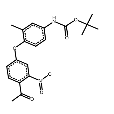 CC(=O)c1ccc(Oc2ccc(NC(=O)OC(C)(C)C)cc2C)cc1[N+](=O)[O-]